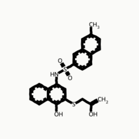 C=C(O)CSc1cc(NS(=O)(=O)c2ccc3ccc(C)cc3c2)c2ccccc2c1O